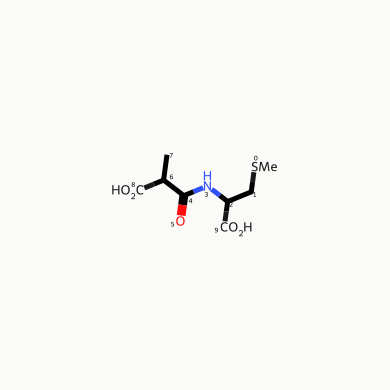 CSCC(NC(=O)C(C)C(=O)O)C(=O)O